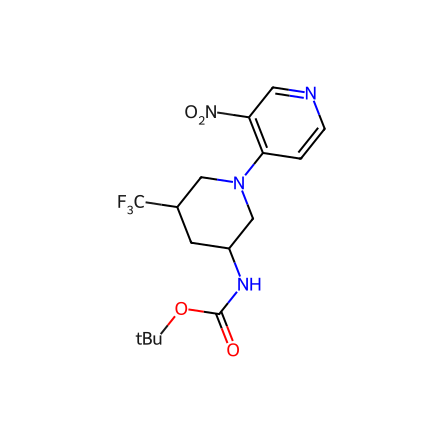 CC(C)(C)OC(=O)NC1CC(C(F)(F)F)CN(c2ccncc2[N+](=O)[O-])C1